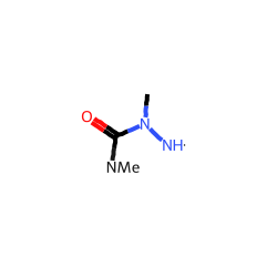 CNC(=O)N(C)[NH]